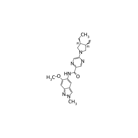 CC[C@@H]1CN(c2cnc(C(=O)Nc3cc4cn(C)nc4cc3OC)cn2)C[C@@H]1F